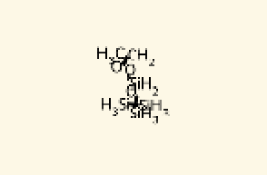 C=C(C)C(=O)OC[SiH2]OCC([SiH3])([SiH3])[SiH3]